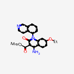 CCOc1ccc2c(N)c(C(=O)OC)c(=O)n(-c3cccc4cnccc34)c2c1